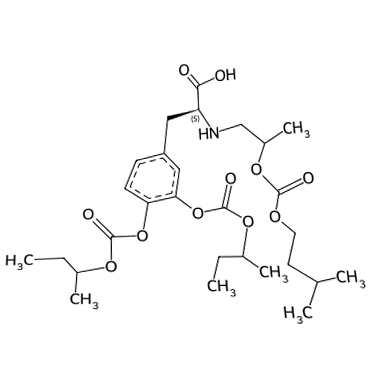 CCC(C)OC(=O)Oc1ccc(C[C@H](NCC(C)OC(=O)OCCC(C)C)C(=O)O)cc1OC(=O)OC(C)CC